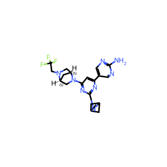 Nc1ncc(-c2cc(N3C[C@@H]4C[C@H]3CN4CC(F)(F)F)nc(N3CC4CC3C4)n2)cn1